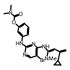 C=C(/C=C(\NC)Nc1nc(Nc2cccc(OC(=O)N(C)C)c2)ncc1Br)C1CC1